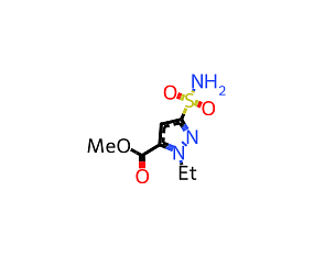 CCn1nc(S(N)(=O)=O)cc1C(=O)OC